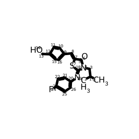 CC(C)CN1C(=O)C(=Cc2ccc(CO)cc2)SC1=Nc1ccc(F)cc1